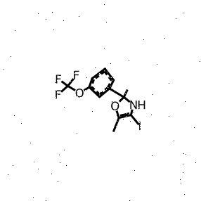 CC1=C(I)NC(C)(c2cccc(OC(F)(F)F)c2)O1